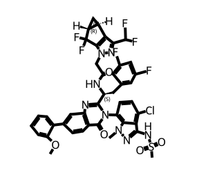 COc1ccccc1-c1ccc2c(=O)n(-c3ccc(Cl)c4c(NS(C)(=O)=O)nn(C)c34)c([C@H](Cc3cc(F)cc(F)c3)NC(=O)Cn3nc(C(F)F)c4c3C(F)(F)[C@@H]3C[C@@H]43)nc2c1